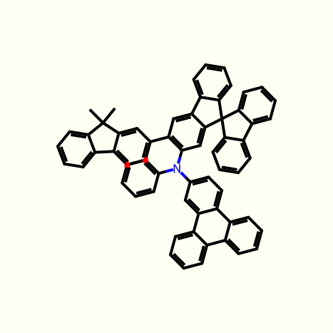 CC1(C)c2ccccc2-c2ccc(-c3cc4c(cc3N(c3ccccc3)c3ccc5c6ccccc6c6ccccc6c5c3)C3(c5ccccc5-c5ccccc53)c3ccccc3-4)cc21